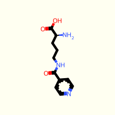 N[C@@H](CCCNC(=O)c1ccncc1)C(=O)O